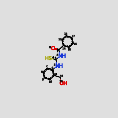 O=C(NC(S)Nc1ccccc1CO)c1ccccc1